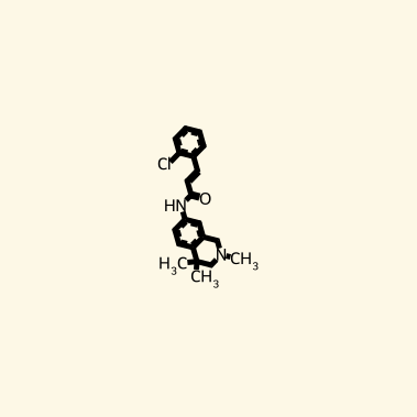 CN1Cc2cc(NC(=O)/C=C/c3ccccc3Cl)ccc2C(C)(C)C1